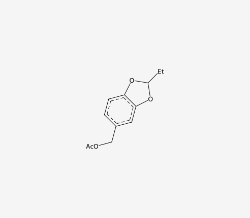 CCC1Oc2ccc(COC(C)=O)cc2O1